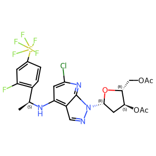 CC(=O)OC[C@H]1O[C@@H](n2ncc3c(N[C@@H](C)c4ccc(S(F)(F)(F)(F)F)cc4F)cc(Cl)nc32)C[C@@H]1OC(C)=O